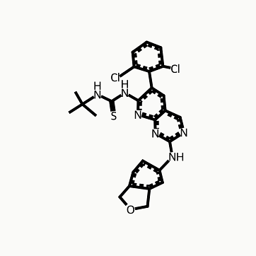 CC(C)(C)NC(=S)Nc1nc2nc(Nc3ccc4c(c3)COC4)ncc2cc1-c1c(Cl)cccc1Cl